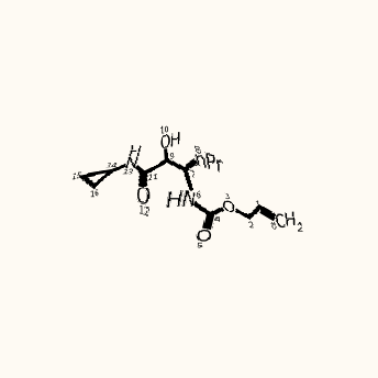 C=CCOC(=O)NC(CCC)C(O)C(=O)NC1CC1